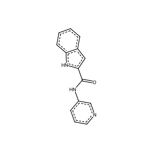 O=C(Nc1cccnc1)c1cc2ccccc2[nH]1